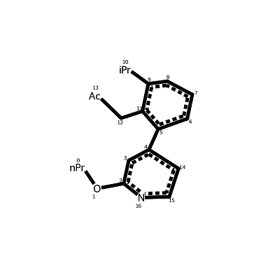 CCCOc1cc(-c2cccc(C(C)C)c2CC(C)=O)ccn1